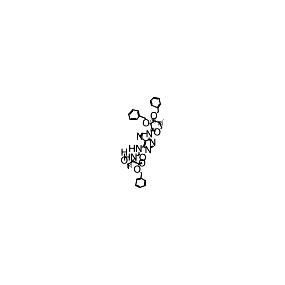 C[C@@H]1CO[C@@H](n2cnc3c(NC(=O)N[C@H](C(=O)OCc4ccccc4)[C@@H](C)O)ncnc32)C(OCc2ccccc2)[C@H]1OCc1ccccc1